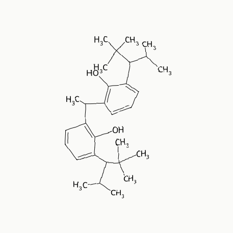 CC(c1cccc(C(C(C)C)C(C)(C)C)c1O)c1cccc(C(C(C)C)C(C)(C)C)c1O